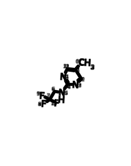 Cc1cnc(NCC(F)(F)F)nc1